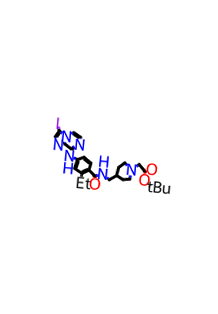 CCc1cc(Nc2nccn3c(I)cnc23)ccc1C(=O)NCC1CCN(CC(=O)OC(C)(C)C)CC1